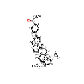 COC(=O)c1ccc(C2=CC[C@]3(C)[C@H]4CC[C@@H]5[C@H]6[C@H](C7CC7)CC[C@]6(C(=O)O)CC[C@@]5(C)[C@]4(C)CC[C@H]3C2(C)C)cc1